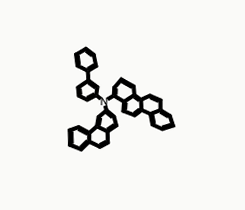 c1ccc(-c2cccc(N(c3ccc4ccc5ccccc5c4c3)c3cccc4c3ccc3c5ccccc5ccc43)c2)cc1